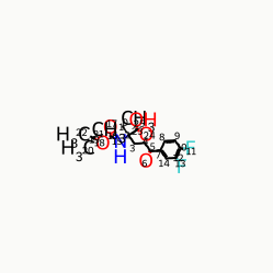 CC[C@@](CCC(=O)c1ccc(F)c(F)c1)(NC(=O)OC(C)(C)C)C(=O)O